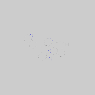 C/C=C\c1c(C)n2c(nc3cccc(P(c4ccncc4)c4ccc5cccnc5c4)c32)c2ccccc12